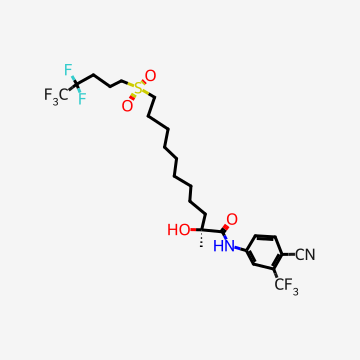 C[C@](O)(CCCCCCCCCS(=O)(=O)CCCC(F)(F)C(F)(F)F)C(=O)Nc1ccc(C#N)c(C(F)(F)F)c1